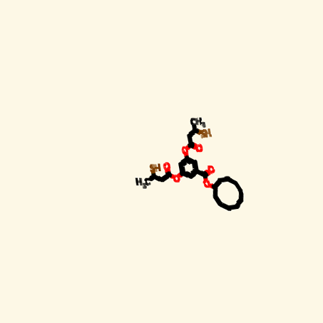 CC(S)CC(=O)Oc1cc(OC(=O)CC(C)S)cc(C(=O)OC2CCCCCCCCC2)c1